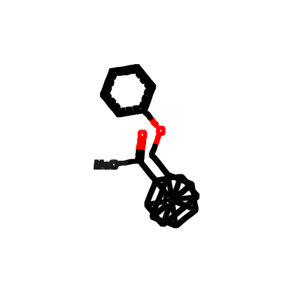 COC(=O)[C]12[CH]3[CH]4[CH]5[CH]1[Fe]45321678[CH]2[CH]1[CH]6[C]7(COc1ccccc1)[CH]28